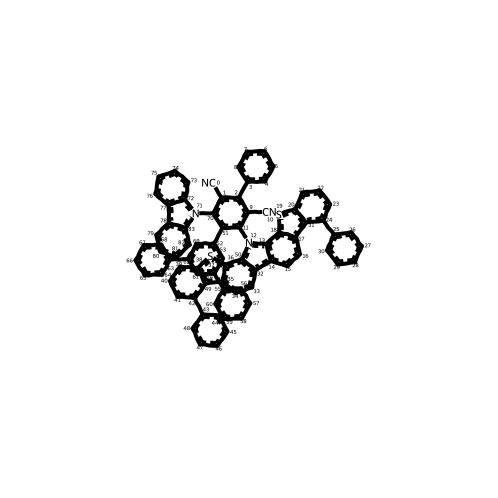 N#Cc1c(-c2ccccc2)c(C#N)c(-n2c3c(ccc4c3sc3cccc(-c5ccccc5)c34)c3ccc4c(sc5cccc(-c6ccccc6)c54)c32)c(-c2cc(-c3ccccc3)cc(-c3ccccc3)c2)c1-n1c2ccccc2c2ccccc21